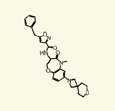 CN1C(=O)C(NC(=O)c2cc(Cc3ccccc3)on2)COc2ccc(N3CC4(CCOCC4)C3)cc21